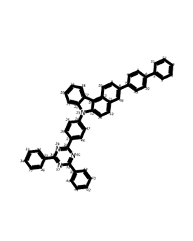 c1ccc(-c2ccc(-c3ccc4c(ccc5c4c4ccccc4n5-c4ccc(-c5nc(-c6ccccc6)nc(-c6ccccc6)n5)cc4)c3)cc2)cc1